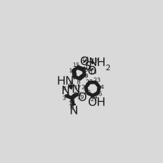 N#Cc1cnc(Nc2ccc(S(N)(=O)=O)cc2)nc1OC1CCCCCC1O